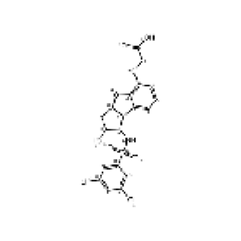 O=C(O)COc1cccc2c1OC1CC(O)C(NS(=O)(=O)c3cc(Cl)cc(Cl)c3)C21